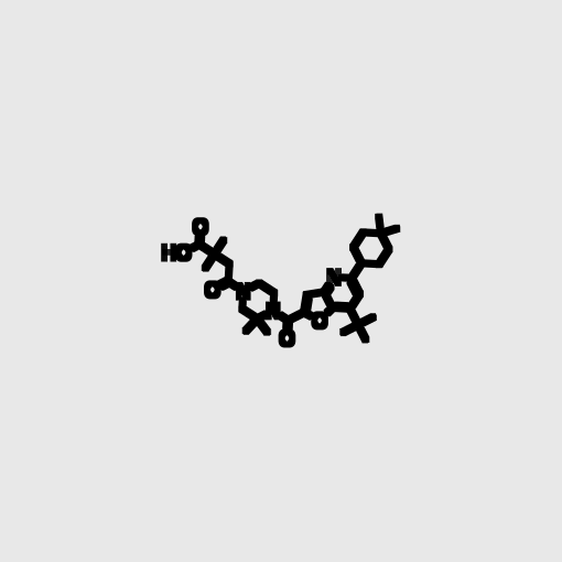 CC1(C)CCC(c2cc(C(C)(C)C)c3oc(C(=O)N4CCN(C(=O)CC(C)(C)C(=O)O)CC4(C)C)cc3n2)CC1